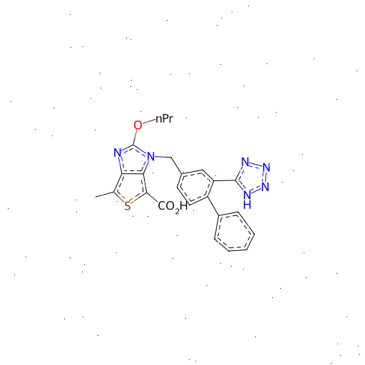 CCCOc1nc2c(C)sc(C(=O)O)c2n1Cc1ccc(-c2ccccc2)c(-c2nnn[nH]2)c1